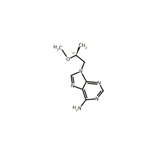 [CH2]O[C@@H](C)Cn1cnc2c(N)ncnc21